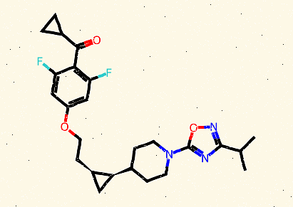 CC(C)c1noc(N2CCC([C@H]3C[C@H]3CCOc3cc(F)c(C(=O)C4CC4)c(F)c3)CC2)n1